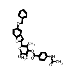 CC(=O)Nc1ccc(C(=O)Oc2c(C)c(-c3cc4cc(OCc5ccccc5)ccc4o3)oc(=O)c2C)cc1